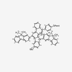 CCCCCc1ccc(Nc2ccccc2-c2cc(-c3ccc4c(c3)C(C)(C)c3ccccc3-4)c3c4cc(C(C)(C)C)ccc4n4c3c2Bc2cc3c(cc2-4)-c2ccccc2C3(C)C)cc1